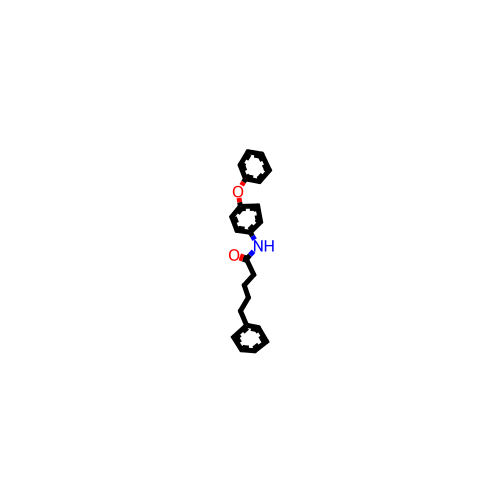 O=C(CCCCc1ccccc1)Nc1ccc(Oc2ccccc2)cc1